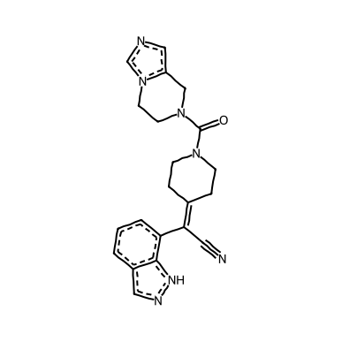 N#CC(=C1CCN(C(=O)N2CCn3cncc3C2)CC1)c1cccc2cn[nH]c12